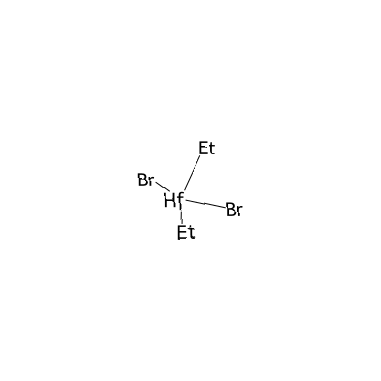 C[CH2][Hf]([Br])([Br])[CH2]C